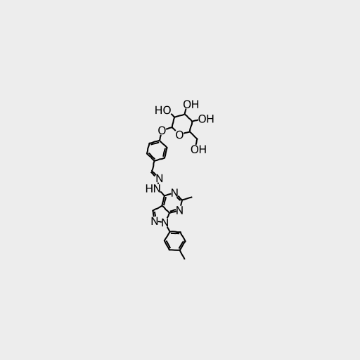 Cc1ccc(-n2ncc3c(NN=Cc4ccc(OC5OC(CO)C(O)C(O)C5O)cc4)nc(C)nc32)cc1